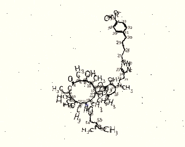 CC[C@H]1OC(=O)[C@H](C)[C@@H](O)[C@H](C)[C@@H](O[C@@H]2O[C@H](C)C[C@H](N(C)CCc3cn(CCCCc4ccc([N+](=O)[O-])cc4)nn3)[C@H]2O)[C@](C)(OC)C[C@@H](C)/C(=N\OCCN(C)C)[C@H](C)[C@@H](O)[C@]1(C)O